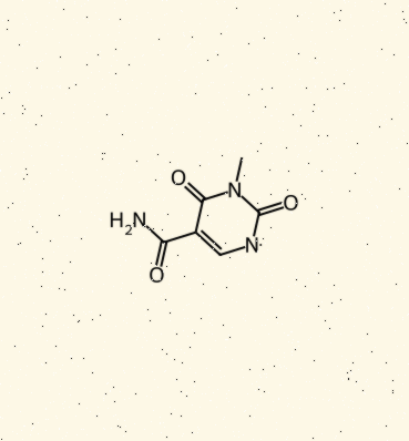 CN1C(=O)[N]C=C(C(N)=O)C1=O